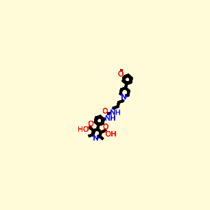 COc1cccc(C2CCN(CCCCNC(=O)Nc3cccc(C4C(C(=O)O)=C(C)N=C(C)C4C(=O)O)c3)CC2)c1